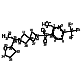 Cc1nc(C(F)(F)F)ccc1S(=O)(=O)N1CC2(CN([C@H](C)C3CCCO3)C2)C1